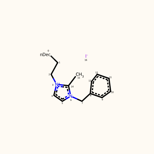 CCCCCCCCCCCC[n+]1ccn(Cc2ccccc2)c1C.[I-]